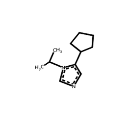 CC(C)n1cncc1C1CCCC1